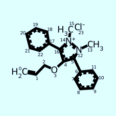 C=CCOc1c(-c2ccccc2)n(C)[n+](C)c1-c1ccccc1.[Cl-]